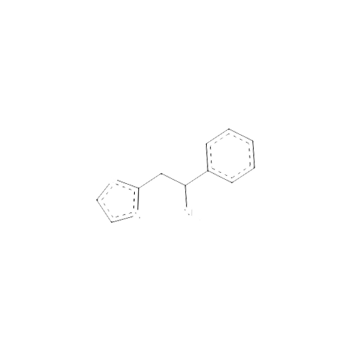 NC(Cc1nccs1)c1ccccc1